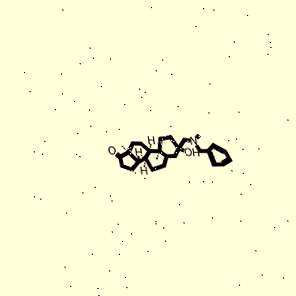 CN(Cc1ccccc1)CC1(O)CC[C@@]2(C)C(CC[C@@H]3[C@H]2CC[C@]2(C)C(=O)CC[C@@H]32)C1